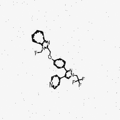 FCn1c(COc2ccc(-c3nn(CC(F)(F)F)cc3-c3ccncc3)cc2)nc2ccccc21